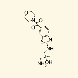 CC(O)(CN)CNc1nc2ccc(S(=O)(=O)N3CCOCC3)cc2s1